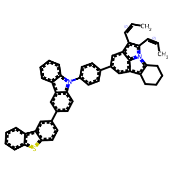 C/C=C\c1c(/C=C\C)n2c3c(c4cc(-c5ccc(-n6c7ccccc7c7cc(-c8ccc9sc%10ccccc%10c9c8)ccc76)cc5)cc1c42)CCCC3